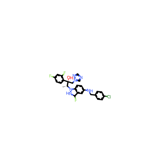 C[C@@H](N1NC(F)c2cc(NCc3ccc(Cl)cc3)ccc21)[C@](O)(Cn1cncn1)c1ccc(F)cc1F